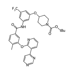 Cc1ccc(C(=O)Nc2cc(OC3CCN(C(=O)OC(C)(C)C)CC3)cc(C(F)(F)F)c2)cc1Oc1ncccc1-c1ccncn1